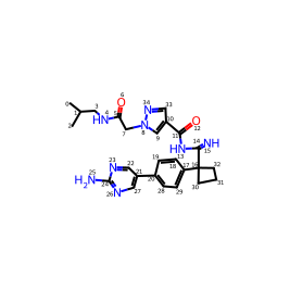 CC(C)CNC(=O)Cn1cc(C(=O)NC(=N)C2(c3ccc(-c4cnc(N)nc4)cc3)CCC2)cn1